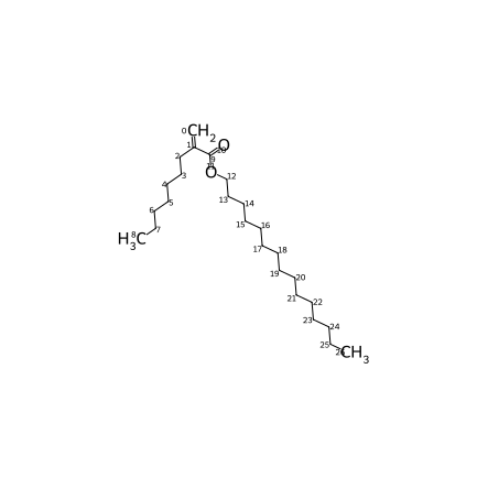 C=C(CCCCCCC)C(=O)OCCCCCCCCCCCCCCC